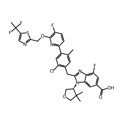 Cc1cc(Cc2nc3c(F)cc(C(=O)O)cc3n2[C@@H]2COCC2(C)C)c(Cl)cc1-c1ccc(F)c(OCc2ncc(C(C)(F)F)s2)n1